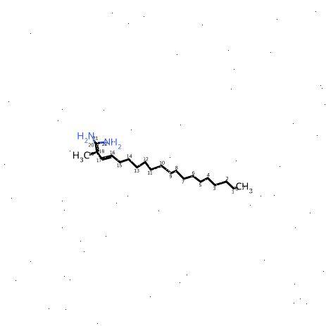 CCCCCCCCCCCCCCCCC=CC(C)=C(N)N